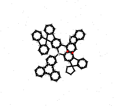 c1ccc2c(c1)-c1ccc(N(c3ccc4c5ccccc5c5ccccc5c4c3)c3cc4c(cc3-c3cccc5c3sc3ccccc35)-c3ccccc3C43c4ccccc4-c4ccccc43)cc1C21CCCC1